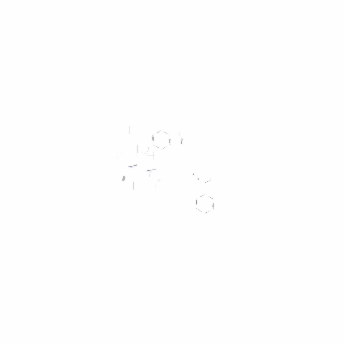 C#C/C(O)=C(O)\C=C1/Cc2c(cc(O)c(O)c2O)C(=O)OCCN(C(=O)c2cc(O)c(O)c(O)c2)CCOC1=O